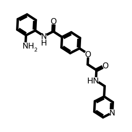 Nc1ccccc1NC(=O)c1ccc(OCC(=O)NCc2cccnc2)cc1